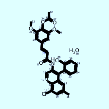 COc1cc(/C=C/C(=O)Nc2cnc3c(Cl)cc(C)cc3c2-c2ccccc2Cl)cc(OC)c1OC(C)=O.O